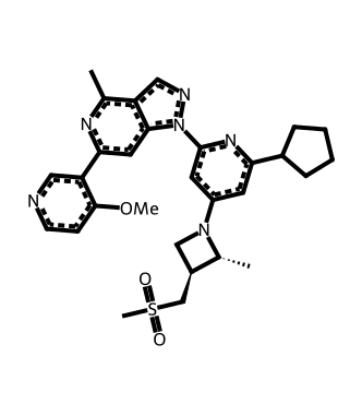 COc1ccncc1-c1cc2c(cnn2-c2cc(N3C[C@H](CS(C)(=O)=O)[C@H]3C)cc(C3CCCC3)n2)c(C)n1